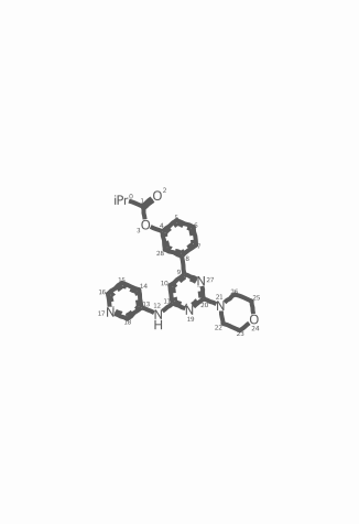 CC(C)C(=O)Oc1cccc(-c2cc(Nc3cccnc3)nc(N3CCOCC3)n2)c1